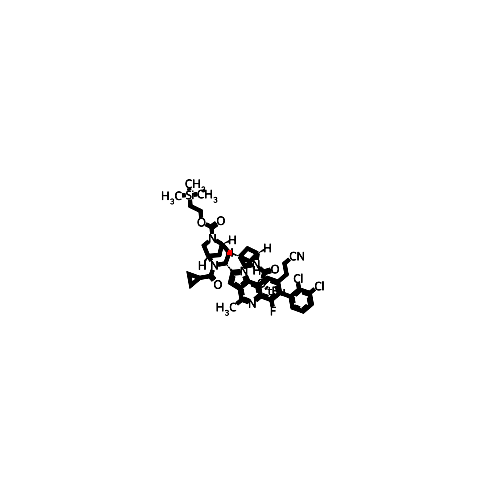 Cc1nc2c(F)c(-c3cccc(Cl)c3Cl)c(CCC#N)cc2c2c1cc([C@H]1C[C@H]3C[C@H](CN3C(=O)OCC[Si](C)(C)C)N1C(=O)C1CC1)n2[C@H]1[C@@H]2C[C@H]1N(C(=O)OC(C)(C)C)C2